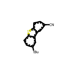 CC(C)(C)c1ccc2sc3ccc(C#N)cc3c2c1